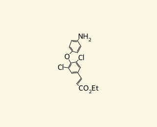 CCOC(=O)/C=C/c1cc(Cl)c(Oc2ccc(N)cc2)c(Cl)c1